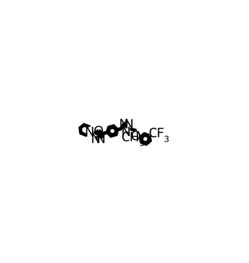 Cn1c(COc2cccc(C(F)(F)F)c2)nnc1-c1ccc(-c2nnc(N3CCCCC3)o2)cc1